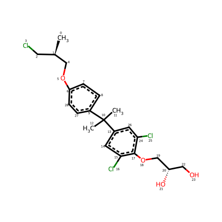 C[C@H](CCl)COc1ccc(C(C)(C)c2cc(Cl)c(OC[C@@H](O)CO)c(Cl)c2)cc1